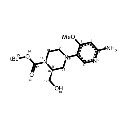 COc1cc(N)ncc1N1CCN(C(=O)OC(C)(C)C)[C@H](CO)C1